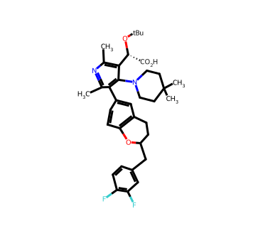 Cc1nc(C)c([C@H](OC(C)(C)C)C(=O)O)c(N2CCC(C)(C)CC2)c1-c1ccc2c(c1)CCC(Cc1ccc(F)c(F)c1)O2